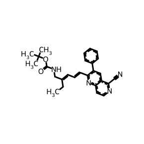 CC/C(=C\C=C\c1nc2ccnc(C#N)c2cc1-c1ccccc1)CNC(=O)OC(C)(C)C